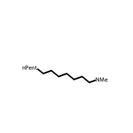 [CH2]NCCCCCCCCCCCC